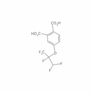 O=C(O)c1ccc(OC(F)(C(F)F)C(F)(F)F)cc1C(=O)O